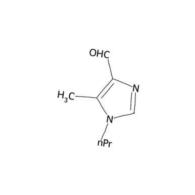 CCCn1cnc(C=O)c1C